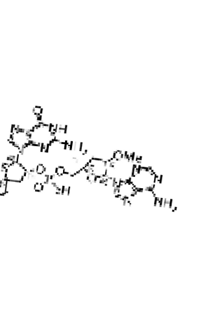 CO[C@@H]1C[C@](C)(COP(=O)(S)O[C@@H]2C[C@](CO)(CF)S[C@H]2n2cnc3c(=O)[nH]c(N)nc32)O[C@H]1n1cnc2c(N)ncnc21